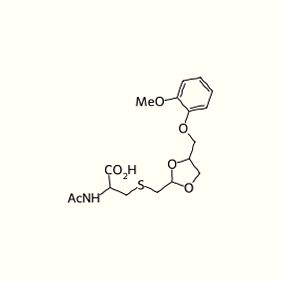 COc1ccccc1OCC1COC(CSCC(NC(C)=O)C(=O)O)O1